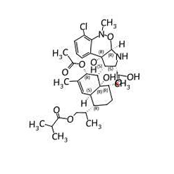 CC(=O)O[C@H]1C(C)=C[C@@H]2[C@@H](C(C)COC(=O)C(C)C)CC[C@@H](C)[C@]2(O)C1[C@H]1[C@@H](C(=O)O)N[C@@H]2ON(C)c3c(Cl)cccc3[C@@]21O